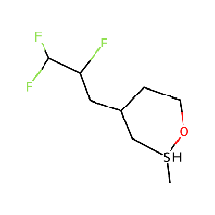 C[SiH]1CC(CC(F)C(F)F)CCO1